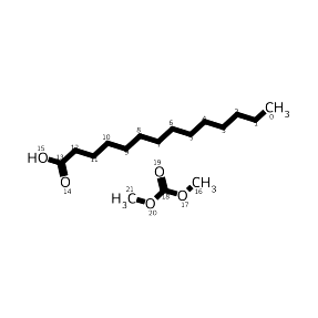 CCCCCCCCCCCCCC(=O)O.COC(=O)OC